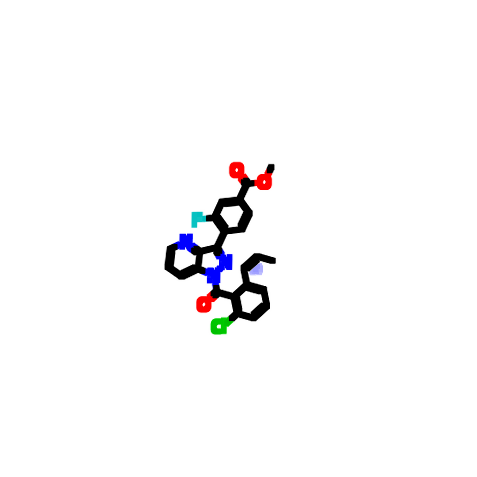 C/C=C\c1cccc(Cl)c1C(=O)n1nc(-c2ccc(C(=O)OC)cc2F)c2ncccc21